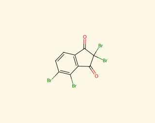 O=C1c2ccc(Br)c(Br)c2C(=O)C1(Br)Br